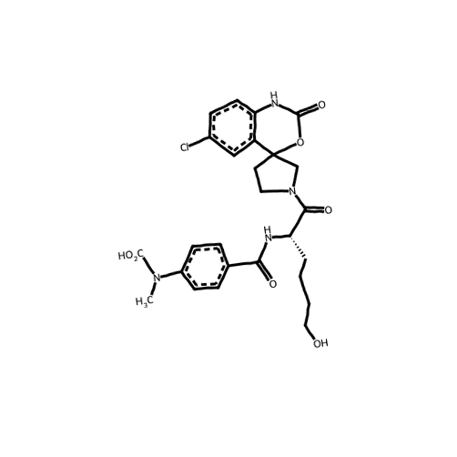 CN(C(=O)O)c1ccc(C(=O)N[C@@H](CCCCO)C(=O)N2CCC3(C2)OC(=O)Nc2ccc(Cl)cc23)cc1